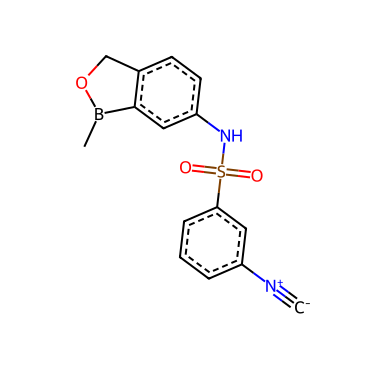 [C-]#[N+]c1cccc(S(=O)(=O)Nc2ccc3c(c2)B(C)OC3)c1